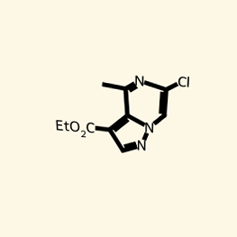 CCOC(=O)c1cnn2cc(Cl)nc(C)c12